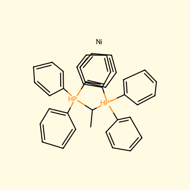 CC([PH](c1ccccc1)(c1ccccc1)c1ccccc1)[PH](c1ccccc1)(c1ccccc1)c1ccccc1.[Ni]